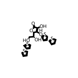 O=C1O[C@H]([C@@H](O)CO)C(O)=C1O.c1ccsc1.c1ccsc1.c1ccsc1.c1ccsc1